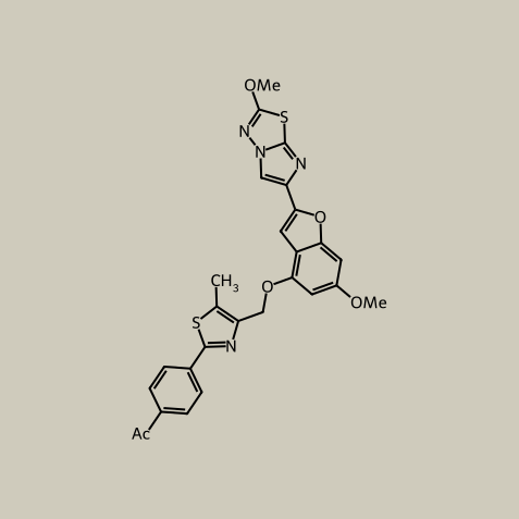 COc1cc(OCc2nc(-c3ccc(C(C)=O)cc3)sc2C)c2cc(-c3cn4nc(OC)sc4n3)oc2c1